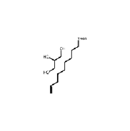 C=CCCCCCCCCCCCCCCCC.OCC(O)CO